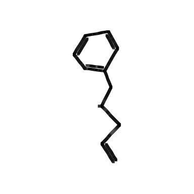 C=CC[CH]Cc1ccccc1